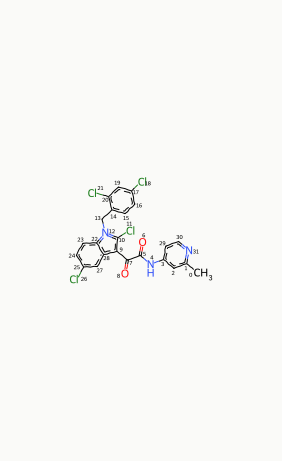 Cc1cc(NC(=O)C(=O)c2c(Cl)n(Cc3ccc(Cl)cc3Cl)c3ccc(Cl)cc23)ccn1